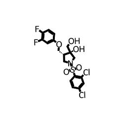 O=S(=O)(c1ccc(Cl)cc1Cl)N1C[C@H](COc2ccc(F)c(F)c2)[C@](O)(CO)C1